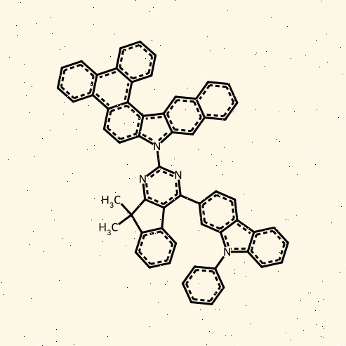 CC1(C)c2ccccc2-c2c(-c3ccc4c5ccccc5n(-c5ccccc5)c4c3)nc(-n3c4cc5ccccc5cc4c4c5c6ccccc6c6ccccc6c5ccc43)nc21